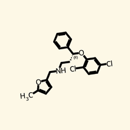 Cc1ccc(CNCC[C@@H](Oc2cc(Cl)ccc2Cl)c2ccccc2)o1